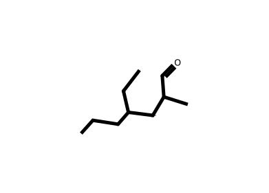 CCCC([CH]C(C)C=O)CC